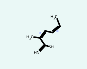 C/C=C\C=C(\C)C(=N)S